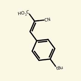 CC(C)(C)c1ccc(/C=C(\C#N)C(=O)O)cc1